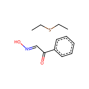 CCSCC.O=C(C=NO)c1ccccc1